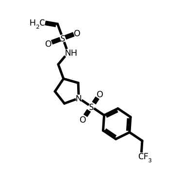 C=CS(=O)(=O)NCC1CCN(S(=O)(=O)c2ccc(CC(F)(F)F)cc2)C1